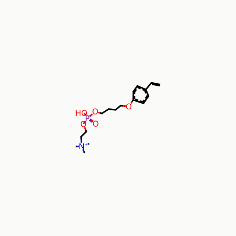 C=Cc1ccc(OCCCCOP(=O)(O)OCC[N+](C)(C)C)cc1